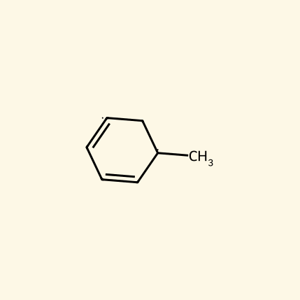 C[C]1C=CC=[C]C1